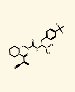 C=C(C#N)C(=O)N1CCCC[C@@H]1COC(=O)N[C@@H](Cc1ccc(C(F)(F)F)cc1)B(O)O